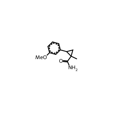 COc1cccc(C2CC2(C)C(N)=O)c1